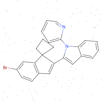 Brc1ccc2c(c1)C1(CCC1)C(c1cc3ccccc3n1-c1ccccn1)=C2